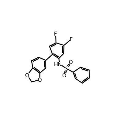 O=S(=O)(Nc1cc(F)c(F)cc1-c1ccc2c(c1)OCO2)c1ccccc1